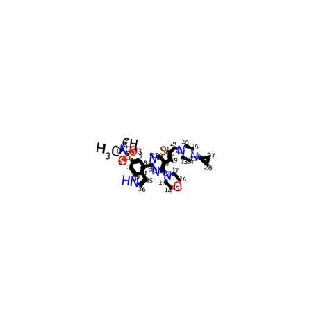 CN(C)S(=O)(=O)c1cc(-c2nc(N3CCOCC3)c3cc(CN4CCN(C5CC5)CC4)sc3n2)c2cc[nH]c2c1